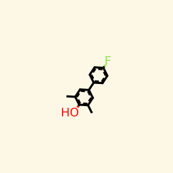 Cc1cc(-c2ccc(F)cc2)cc(C)c1O